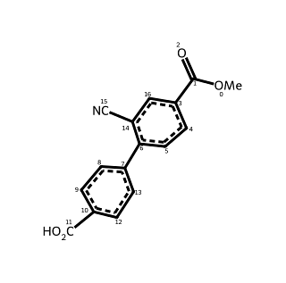 COC(=O)c1ccc(-c2ccc(C(=O)O)cc2)c(C#N)c1